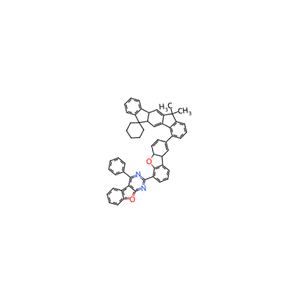 CC1(C)C2=CC3c4ccccc4C4(CCCCC4)C3C=C2c2c(C3=CC4c5cccc(-c6nc(-c7ccccc7)c7c(n6)oc6ccccc67)c5OC4C=C3)cccc21